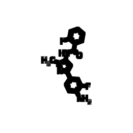 Cn1nc(-c2ccc(N)c(F)c2)cc1NC(=O)c1ccccc1F